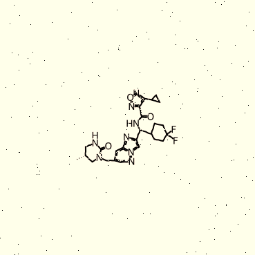 C[C@@H]1CNC(=O)N(Cc2cnn3cc([C@@H](NC(=O)c4nonc4C4CC4)C4CCC(F)(F)CC4)nc3c2)C1